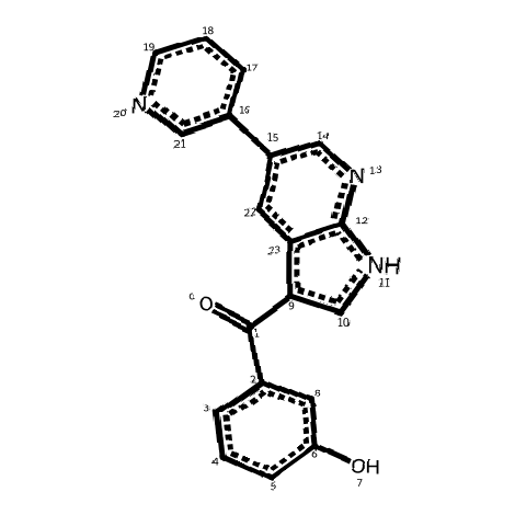 O=C(c1cccc(O)c1)c1c[nH]c2ncc(-c3cccnc3)cc12